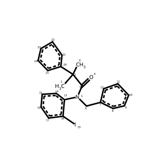 CC(C)(C(=O)N(Cc1ccccc1)c1ccccc1I)c1ccccc1